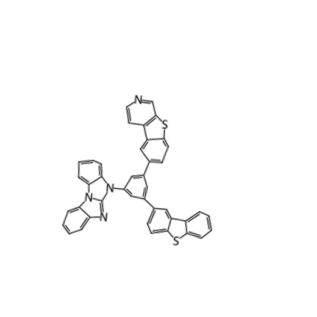 c1ccc2c(c1)nc1n(-c3cc(-c4ccc5sc6ccccc6c5c4)cc(-c4ccc5sc6cnccc6c5c4)c3)c3ccccc3n21